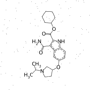 CC(C)N1CCC(Oc2ccc3[nH]c(C(=O)OC4CCCCC4)c(C(N)=O)c3c2)C1